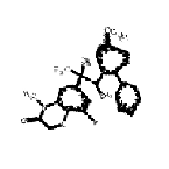 CC(c1cc(C(=O)O)ccc1-c1ccccc1)C(O)(c1cc(F)c2c(c1)N(C)C(=O)CO2)C(F)(F)F